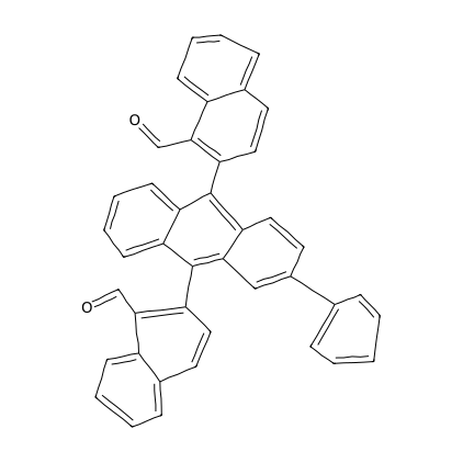 O=Cc1c(-c2c3ccccc3c(-c3ccc4ccccc4c3C=O)c3cc(-c4ccccc4)ccc23)ccc2ccccc12